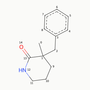 CC1(Cc2ccccc2)CCCNC1=O